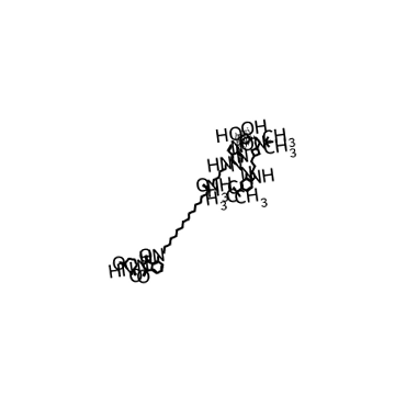 CC(C)N(C[C@H]1O[C@@H](n2ccc3c(NCCCCNC(=O)CCCCCCCCCCCCCCCNc4cccc5c4C(=O)N(C4CCC(=O)NC4=O)C5=O)ncnc32)[C@H](O)[C@@H]1O)C1CC(CCc2nc3cc(C(C)(C)C)ccc3[nH]2)C1